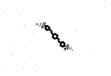 CS(=O)(=O)c1ccc(C=Cc2ccc(C=Cc3ccc(S(C)(=O)=O)cc3)cc2)cc1